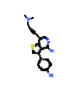 CN(C)CC#Cc1cnc(N)c2c(-c3ccc(N)cc3)csc12